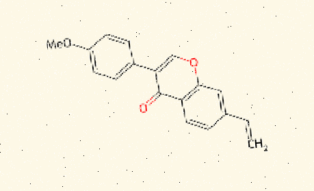 C=Cc1ccc2c(=O)c(-c3ccc(OC)cc3)coc2c1